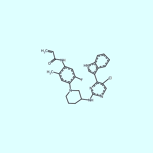 C=CC(=O)Nc1cc(F)c(N2CCCC(Nc3ncc(Cl)c(-c4c[nH]c5ccccc45)n3)C2)cc1C